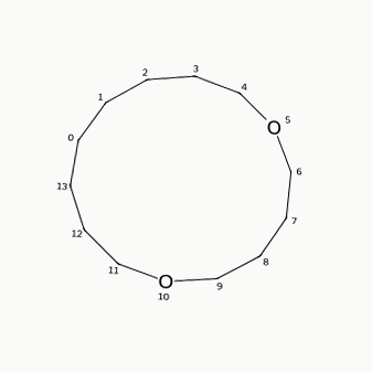 C1CCCCOCCCCOCCC1